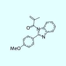 C=C(C)C(=O)n1c(-c2ccc(OC)cc2)nc2ccccc21